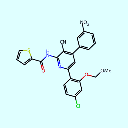 COCOc1cc(Cl)ccc1-c1cc(-c2cccc([N+](=O)[O-])c2)c(C#N)c(NC(=O)c2cccs2)n1